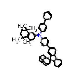 CC1(C)CCC(C)(C)c2cc(N(c3ccc(-c4ccccc4)cc3)c3ccc(-c4ccc5c(c4)C4(c6ccccc6-5)C5CC6CC(C5)CC4C6)cc3)ccc21